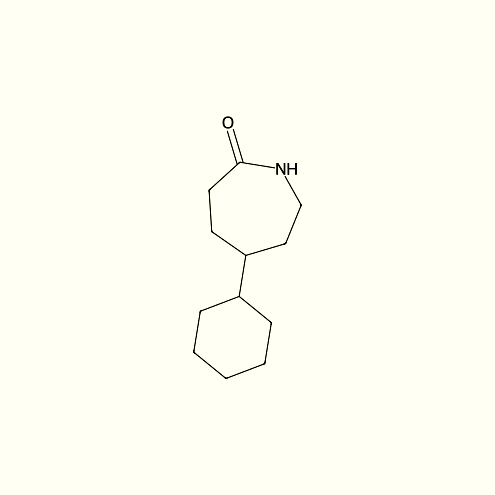 O=C1CCC(C2CCCCC2)CCN1